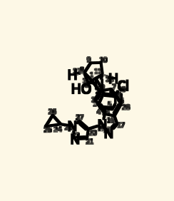 OC1(c2cccnc2)[C@@H]2CC[C@H]1N(c1cc3c(cnn3-c3cnn(C4CC4)c3)cc1Cl)C2